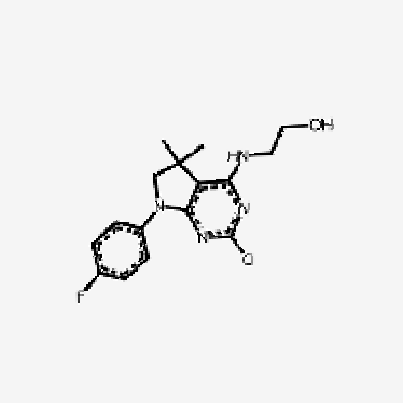 CC1(C)CN(c2ccc(F)cc2)c2nc(Cl)nc(NCCO)c21